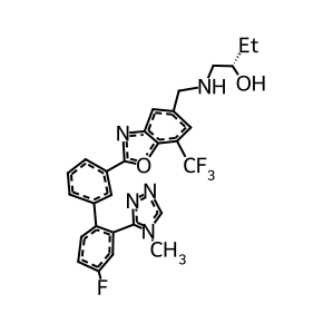 CC[C@H](O)CNCc1cc(C(F)(F)F)c2oc(-c3cccc(-c4ccc(F)cc4-c4nncn4C)c3)nc2c1